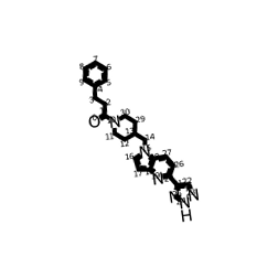 O=C(CCc1ccccc1)N1CCC(Cn2ccc3nc(-c4cn[nH]n4)ccc32)CC1